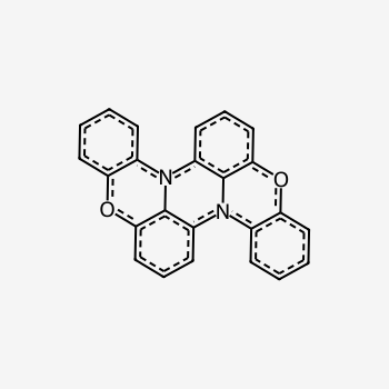 c1ccc2c(c1)oc1cccc3c1-n2c1cccc2oc4ccccc4n3-c21